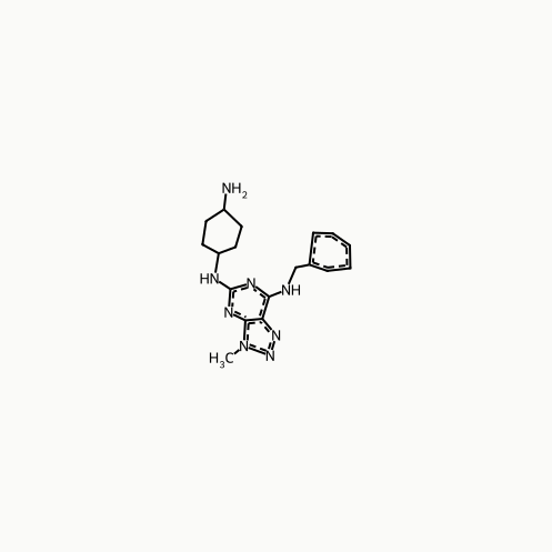 Cn1nnc2c(NCc3ccccc3)nc(NC3CCC(N)CC3)nc21